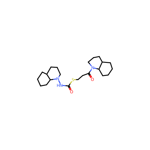 O=C(NN1CCCC2CCCCC21)SCCC(=O)N1CCCC2CCCCC21